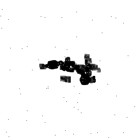 CC(C)C(=O)NC(CCN1CCC2(CC1)CCN(Cc1ccc(Br)cc1)C2=O)c1cccc(Cl)c1.Cl